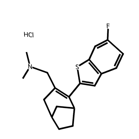 CN(C)CC1=C(c2cc3ccc(F)cc3s2)C2CCC(C1)C2.Cl